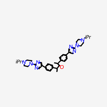 CC(C(=O)C(C)c1ccc(-c2cnc(N3CCN(C(C)C)CC3)nc2)cc1)c1ccc(-c2cnc(N3CCN(C(C)C)CC3)nc2)cc1